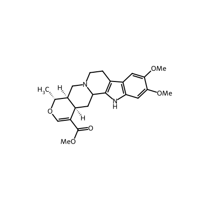 COC(=O)C1=CO[C@H](C)[C@H]2CN3CCc4c([nH]c5cc(OC)c(OC)cc45)C3C[C@@H]12